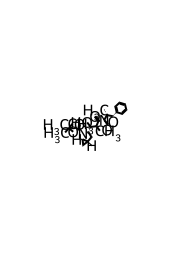 CC(C(=O)N1C(=O)O[C@@H](c2ccccc2)[C@H]1C)C(O)[C@@H]1C[C@@H]2C[C@@H]2N1C(=O)OC(C)(C)C